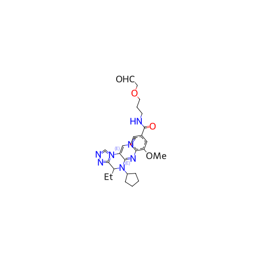 C=N/C=C1\C(=N/c2ccc(C(=O)NCCCOCC=O)cc2OC)N(C2CCCC2)C(CC)c2nncn21